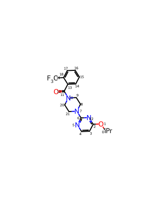 CC(C)Oc1ccnc(N2CCN(C(=O)c3ccccc3C(F)(F)F)CC2)n1